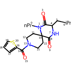 CCCN1C(=O)C(CC(C)C)NC(=O)C12CCN(C(=O)c1cccs1)CC2